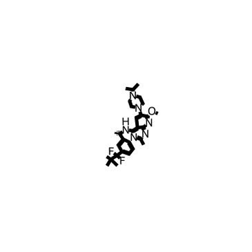 COc1nc2nc(C)nc(N[C@H](C)c3cccc(C(F)(F)C(C)(C)C)c3)c2cc1N1CCN(C(C)C)CC1